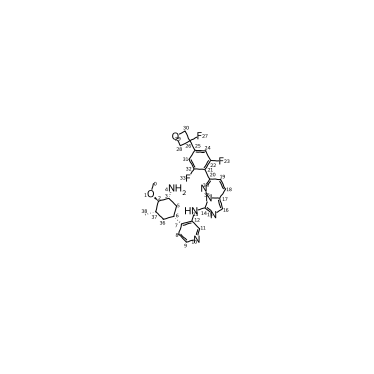 CO[C@H]1[C@H](N)C[C@H](c2ccncc2Nc2ncc3ccc(-c4c(F)cc(C5(F)COC5)cc4F)nn23)C[C@@H]1C